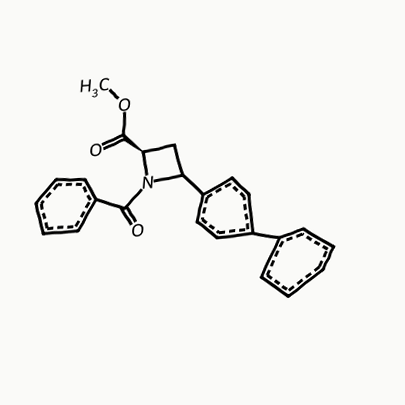 COC(=O)[C@H]1CC(c2ccc(-c3ccccc3)cc2)N1C(=O)c1ccccc1